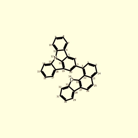 c1cc(-c2cc3c4ccccc4n4c5ccccc5c(c2)c34)c2c(c1)ccc1c3ccccc3oc12